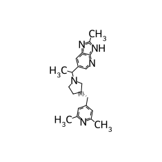 Cc1cc(C[C@@H]2CCN(C(C)c3cnc4[nH]c(C)nc4c3)C2)cc(C)n1